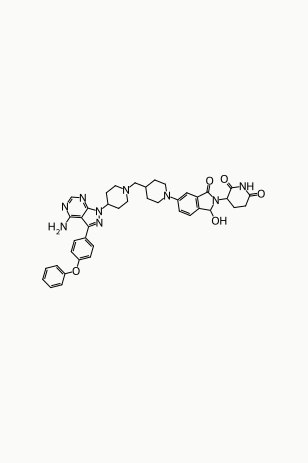 Nc1ncnc2c1c(-c1ccc(Oc3ccccc3)cc1)nn2C1CCN(CC2CCN(c3ccc4c(c3)C(=O)N(C3CCC(=O)NC3=O)C4O)CC2)CC1